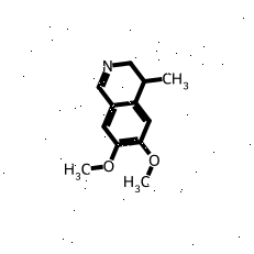 COc1cc2c(cc1OC)C(C)CN=C2